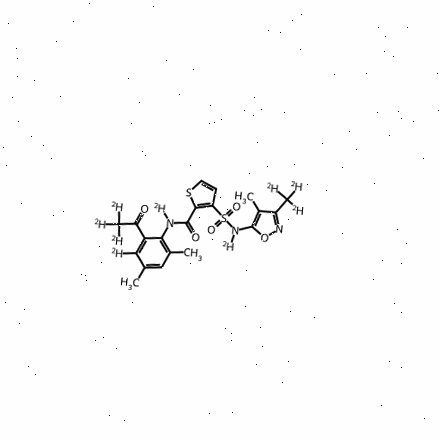 [2H]c1c(C)cc(C)c(N([2H])C(=O)c2sccc2S(=O)(=O)N([2H])c2onc(C([2H])([2H])[2H])c2C)c1C(=O)C([2H])([2H])[2H]